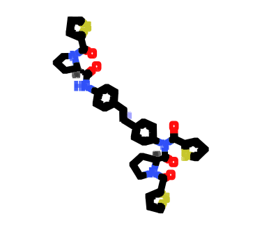 O=C(Nc1ccc(/C=C/c2ccc(N(C(=O)c3cccs3)C(=O)[C@@H]3CCCN3C(=O)c3cccs3)cc2)cc1)[C@@H]1CCCN1C(=O)c1cccs1